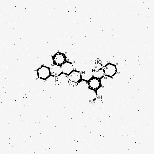 CCNc1cc(C(=O)N[C@@H](Cc2ccccc2)[C@H](O)CNC2CCCCC2)cc(N2CCCCS2(O)O)c1